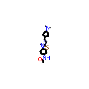 CC(=O)Nc1ccc2c(c1)sc(/C=C/c1ccc(N(C)C)cc1)[n+]2C